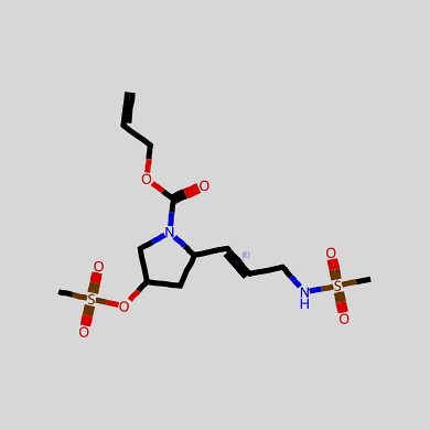 C=CCOC(=O)N1CC(OS(C)(=O)=O)CC1/C=C/CNS(C)(=O)=O